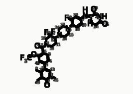 Cc1c(-c2ccc(C(=O)N3CCC(N4CCN(c5ccc(N[SH]6CCC(=O)NC6=O)cc5F)CC4)C(F)(F)C3)c(OC(F)(F)F)c2)cn(C)c(=O)c1C